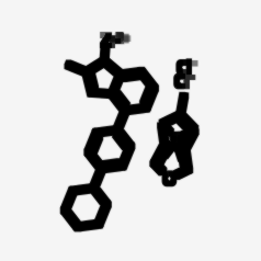 CC1=C2c3cocc3C1[Si]2(C)C.CC1=Cc2c(-c3ccc(C4CCCCC4)cc3)cccc2[CH]1[Zr+2].[Cl-].[Cl-]